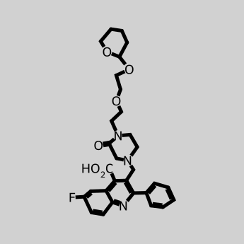 O=C(O)c1c(CN2CCN(CCOCCOC3CCCCO3)C(=O)C2)c(-c2ccccc2)nc2ccc(F)cc12